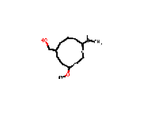 CBC1CCCC(CO)CCC(OC(C)C)CCC1